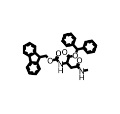 CNC(=O)CC(NC(=O)OCC1c2ccccc2-c2ccccc21)C(=O)OC(c1ccccc1)c1ccccc1